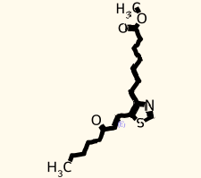 CCCCCC(=O)/C=C/c1scnc1CCCCCCC(=O)OC